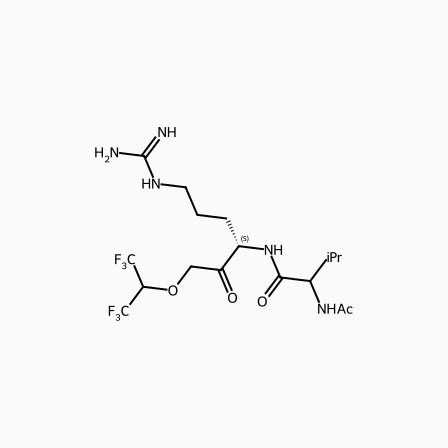 CC(=O)NC(C(=O)N[C@@H](CCCNC(=N)N)C(=O)COC(C(F)(F)F)C(F)(F)F)C(C)C